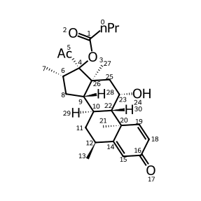 CCCC(=O)O[C@]1(C(C)=O)[C@@H](C)C[C@H]2[C@@H]3C[C@H](C)C4=CC(=O)C=C[C@]4(C)[C@H]3[C@@H](O)C[C@@]21C